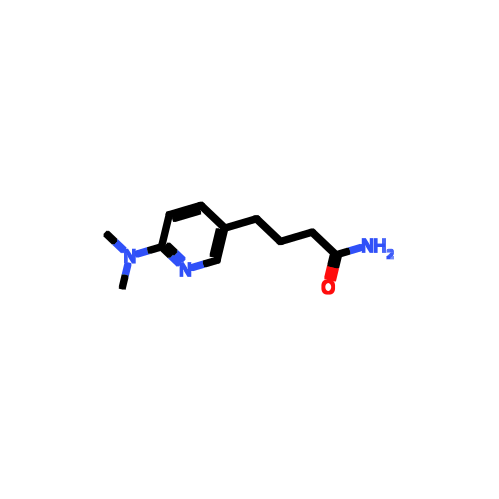 CN(C)c1ccc(CCCC(N)=O)cn1